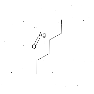 CCCCCC.[O]=[Ag]